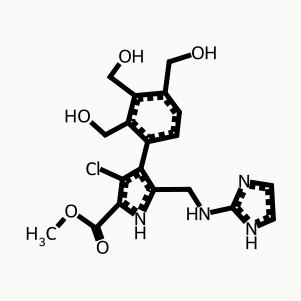 COC(=O)c1[nH]c(CNc2ncc[nH]2)c(-c2ccc(CO)c(CO)c2CO)c1Cl